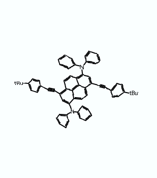 CC(C)(C)c1ccc(C#Cc2cc(N(c3ccccc3)c3ccccc3)c3ccc4c(C#Cc5ccc(C(C)(C)C)cc5)cc(N(c5ccccc5)c5ccccc5)c5ccc2c3c45)cc1